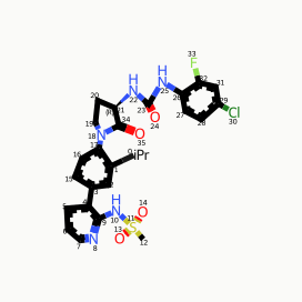 CC(C)c1cc(-c2cccnc2NS(C)(=O)=O)ccc1N1CC[C@@H](NC(=O)Nc2ccc(Cl)cc2F)C1=O